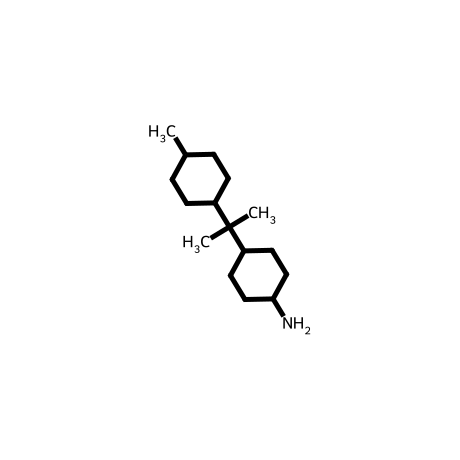 CC1CCC(C(C)(C)C2CCC(N)CC2)CC1